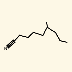 CCCC(C)CCCCC#N